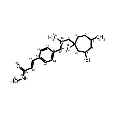 CCC1CC(C)CCC(C)(CN(C)Cc2ccc(/C=C/C(=O)NO)cc2)C1